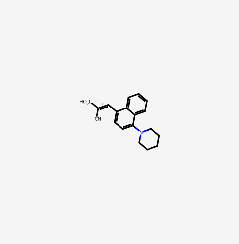 N#C/C(=C\c1ccc(N2CCCCC2)c2ccccc12)C(=O)O